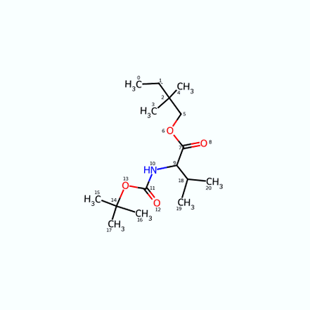 C[CH]C(C)(C)COC(=O)C(NC(=O)OC(C)(C)C)C(C)C